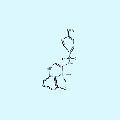 C[N+]1(C)C(NS(=O)(=O)c2ccc(N)cc2)=CNc2cccc(Cl)c21